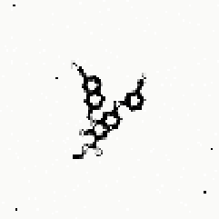 CCOC(=O)c1cc2ccc(Oc3cccc(C#N)c3)cc2n(Cc2ccc3ccc(C#N)cc3c2)c1=O